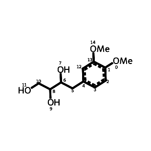 COc1ccc(CC(O)C(O)CO)cc1OC